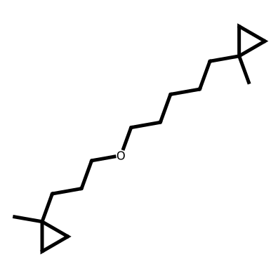 CC1(CCCCCOCCCC2(C)CC2)CC1